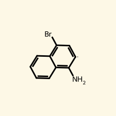 Nc1[c]cc(Br)c2ccccc12